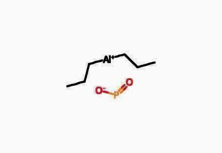 CC[CH2][Al+][CH2]CC.O=P[O-]